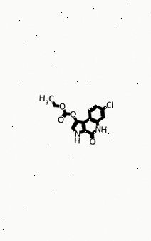 CCOC(=O)Oc1c[nH]c2c(=O)[nH]c3cc(Cl)ccc3c12